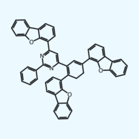 C1=C(c2cccc3c2oc2ccccc23)CCC(c2cccc3c2oc2ccccc23)=C1c1cc(-c2cccc3c2oc2ccccc23)nc(-c2ccccc2)n1